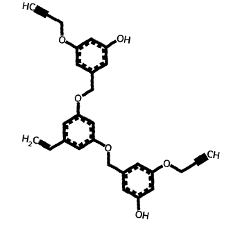 C#CCOc1cc(O)cc(COc2cc(C=C)cc(OCc3cc(O)cc(OCC#C)c3)c2)c1